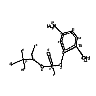 CC(OP(C)(=O)Oc1cc(N)ccc1O)C(C)(C)C